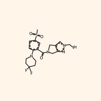 CC(C)Cn1cc2c(n1)CN(C(=O)c1cc(S(C)(=O)=O)ccc1N1CCC(F)(F)CC1)C2